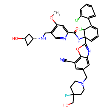 COc1cc(C(=O)NC2(c3nc4cc(CN5CCC(F)(CO)CC5)cc(C#N)c4o3)C=CC=C(c3ccccc3Cl)C2Cl)ncc1CN[C@H]1C[C@H](O)C1